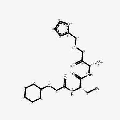 CCCC[C@H](NC(=O)[C@H](CC(C)C)NC(=O)COC1CCCCC1)C(=O)CSCc1ccco1